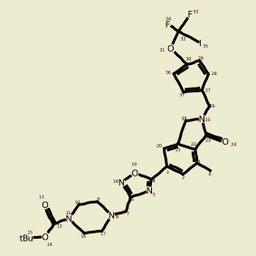 Cc1cc(-c2nc(CN3CCN(C(=O)OC(C)(C)C)CC3)no2)cc2c1C(=O)N(Cc1ccc(OC(F)(F)I)cc1)C2